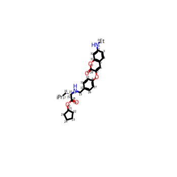 CCNc1ccc2cc(Oc3ccc(CN[C@@H](CC(C)C)C(=O)OC4CCCC4)cc3)c(=O)oc2c1